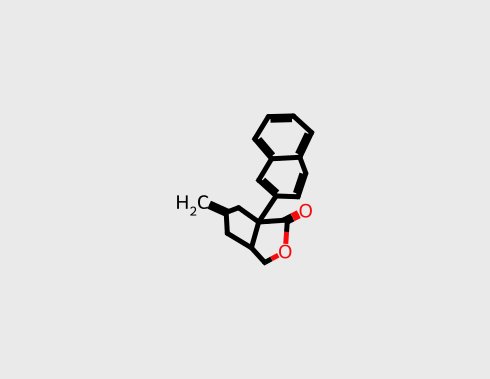 C=C1CC2COC(=O)C2(c2ccc3ccccc3c2)C1